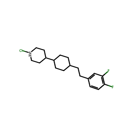 Fc1ccc(CCC2CCC(C3CC[SiH](Cl)CC3)CC2)cc1F